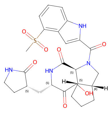 CS(=O)(=O)c1cccc2[nH]c(C(=O)N3C[C@@H]4CCC[C@@H]4[C@H]3C(=O)N[C@@H](C[C@@H]3CCNC3=O)C(=O)CO)cc12